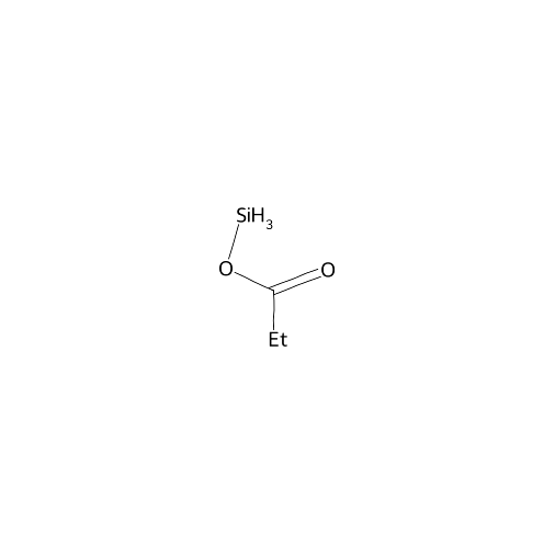 CCC(=O)O[SiH3]